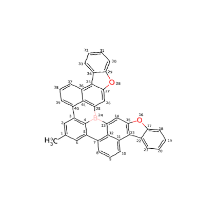 Cc1cc2c3c(c1)-c1cccc4c1c(cc1oc5ccccc5c14)B3c1cc3oc4ccccc4c3c3cccc-2c13